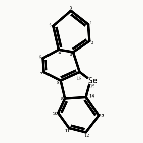 c1ccc2c(c1)ccc1c3ccccc3[se]c21